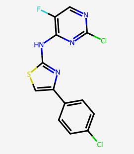 Fc1cnc(Cl)nc1Nc1nc(-c2ccc(Cl)cc2)cs1